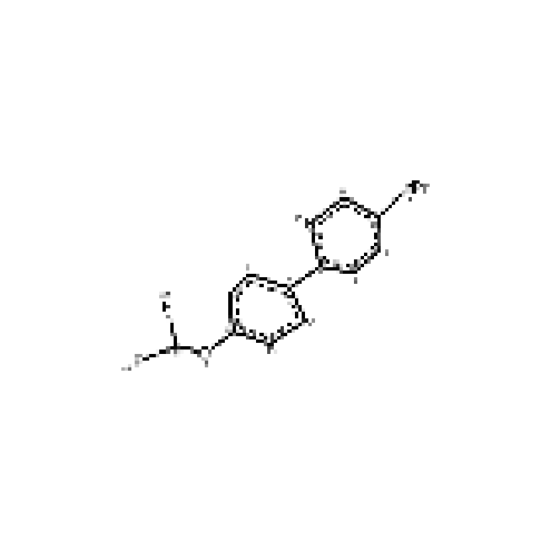 CCCc1ccc(-c2ccc(OC(F)F)cc2)nc1